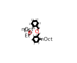 CCCCCCCCc1ccccc1COCc1ccccc1CCCCCCCC.CCOCC